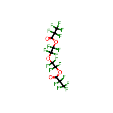 O=C(OC(F)(F)C(F)(F)OC(F)(F)C(F)(F)OC(=O)C(F)(F)C(F)(F)F)C(F)(F)C(F)(F)F